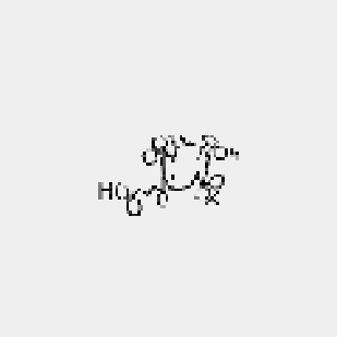 CC(C)(C)OC(=O)N1CCCN(C(=O)CCCC(=O)O)CCN(C(=O)O)CCCN(C(=O)O)CC1